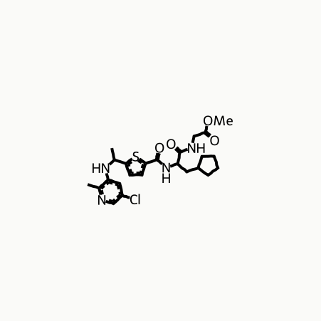 COC(=O)CNC(=O)C(CC1CCCC1)NC(=O)c1ccc(C(C)Nc2cc(Cl)cnc2C)s1